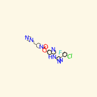 CN1CCN(CCC2CCN(C(=O)Oc3ccc4c(Nc5cnnc(-c6cc(Cl)ccc6F)c5)ccnc4c3)CC2)CC1